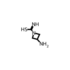 N=C(S)N1CC(N)C1